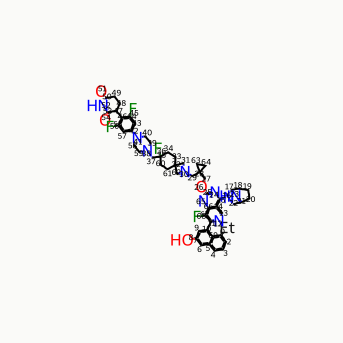 CCc1cccc2cc(O)cc(-c3ncc4c(N5CC6CCC(C5)N6)nc(OCC5(CN6CC7(CCC(F)(CN8CCN(c9cc(F)c(C%10CCC(=O)NC%10=O)c(F)c9)CC8)CC7)C6)CC5)nc4c3F)c12